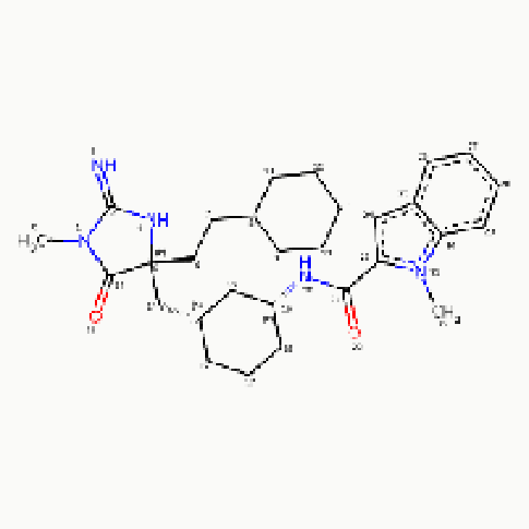 CN1C(=N)N[C@](CCC2CCCCC2)(C[C@H]2CCC[C@@H](NC(=O)c3cc4ccccc4n3C)C2)C1=O